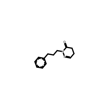 O=C1CC[C]=NN1CCCc1ccccc1